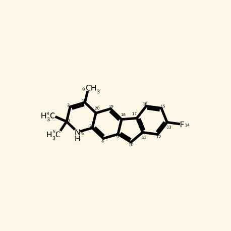 CC1=CC(C)(C)NC2=CC3=Cc4cc(F)ccc4C3=CC12